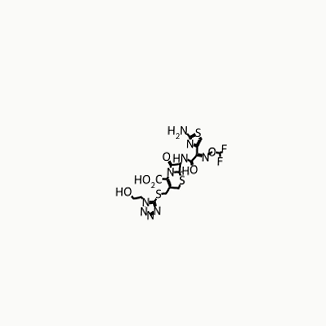 Nc1nc(/C(=N\OC(F)F)C(=O)NC2C(=O)N3C(C(=O)O)=C(CSc4nnnn4CCO)CS[C@H]23)cs1